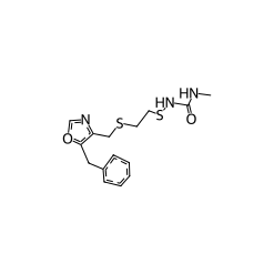 CNC(=O)NSCCSCc1ncoc1Cc1ccccc1